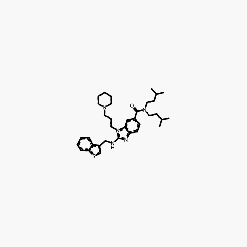 CC(C)CCN(CCC(C)C)C(=O)c1ccc2nc(NCc3csc4ccccc34)n(CCCN3CCCCC3)c2c1